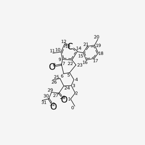 CCCC(CC1CC(=O)c2c(C)ccc(-c3cccc(C)c3)c2C1)C(CC)C(=O)CC(C)=O